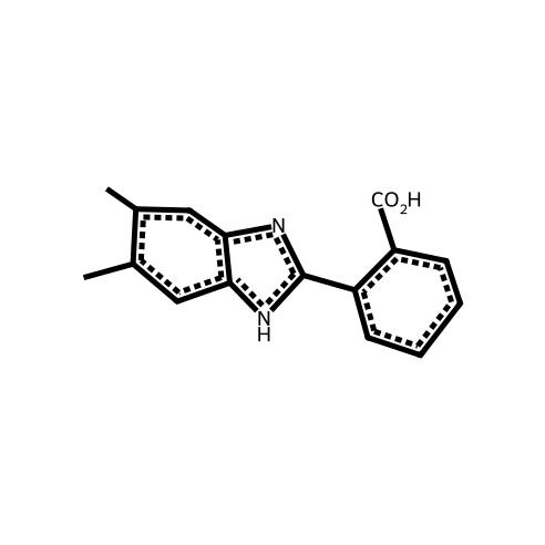 Cc1cc2nc(-c3ccccc3C(=O)O)[nH]c2cc1C